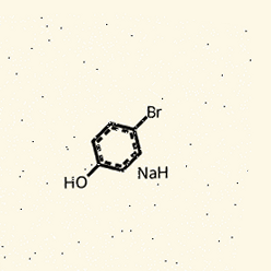 Oc1ccc(Br)cc1.[NaH]